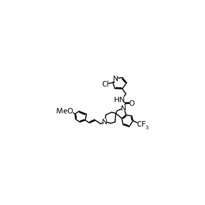 COc1ccc(C=CCN2CCC3(CC2)CN(C(=O)NCc2ccnc(Cl)c2)c2cc(C(F)(F)F)ccc23)cc1